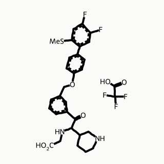 CSc1cc(F)c(F)cc1-c1ccc(OCc2cccc(C(=O)C(NCC(=O)O)C3CCCNC3)c2)cc1.O=C(O)C(F)(F)F